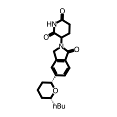 CCCC[C@@H]1CCC[C@H](c2ccc3c(c2)CN(C2CCC(=O)NC2=O)C3=O)O1